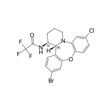 O=C(N[C@H]1CCCN2c3cc(Cl)ccc3Oc3cc(Br)ccc3[C@H]12)C(F)(F)F